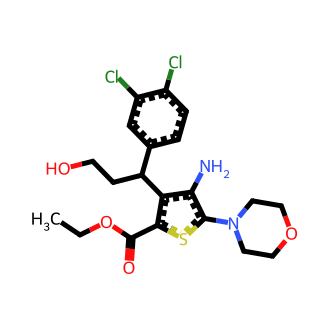 CCOC(=O)c1sc(N2CCOCC2)c(N)c1C(CCO)c1ccc(Cl)c(Cl)c1